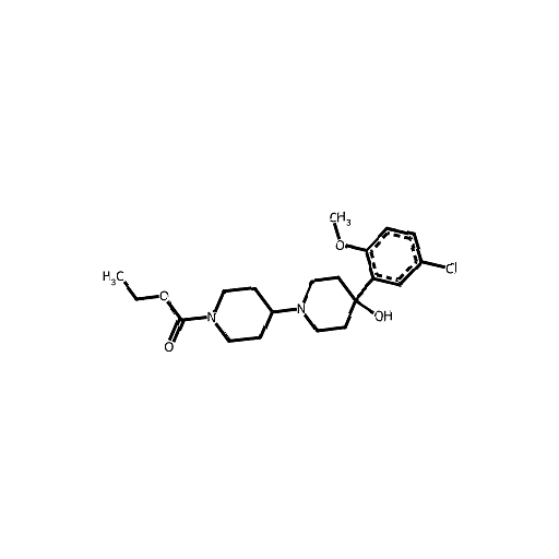 CCOC(=O)N1CCC(N2CCC(O)(c3cc(Cl)ccc3OC)CC2)CC1